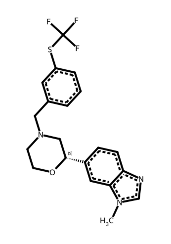 Cn1cnc2ccc([C@H]3CN(Cc4cccc(SC(F)(F)F)c4)CCO3)cc21